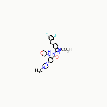 CN1CCN(c2ccc(C(=O)Nc3nn(C(=O)O)c4ccc(Cc5cc(F)cc(F)c5)cc34)c(NC3CCOCC3)c2)CC1